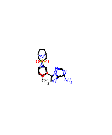 Cc1ccc(S(=O)(=O)N2C3CCC2CC(N2CCOCC2)C3)cc1-c1cnc2c(N)ncnn12